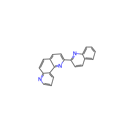 c1ccc2nc(-c3ccc4ccc5ncccc5c4n3)ccc2c1